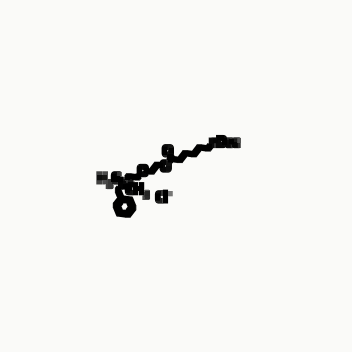 CCCCCCCCCCCCCCCC(=O)OCCOCC[N+](C)(C)Cc1ccccc1.[Cl-]